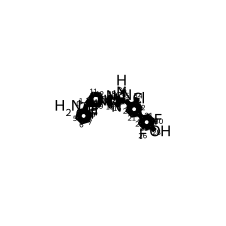 NC[C@]1(c2ccccc2F)[C@@H]2CCN(c3cnc4c(-c5ccc(-c6cc(F)c(O)c(F)c6)cc5Cl)n[nH]c4n3)C[C@@H]21